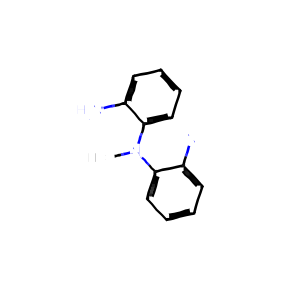 CN(c1ccccc1N)c1ccccc1N